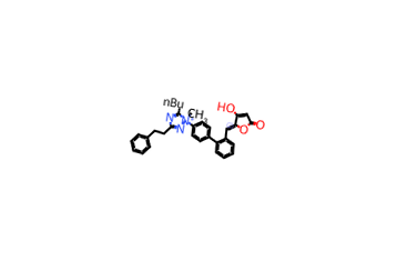 CCCCC1=NC(CCc2ccccc2)=N[N+]1(C)c1ccc(-c2ccccc2/C=C2\OC(=O)C=C2O)cc1